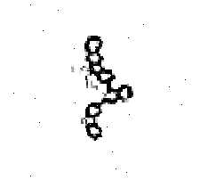 CC1(C)c2cc(-c3nc(-c4ccc5oc6ccccc6c5c4)cc4ncccc34)ccc2-c2cc3ccccc3cc21